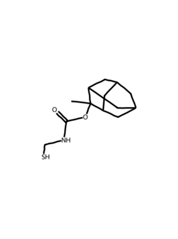 CC1(OC(=O)NCS)C2CC3CC(C2)CC1C3